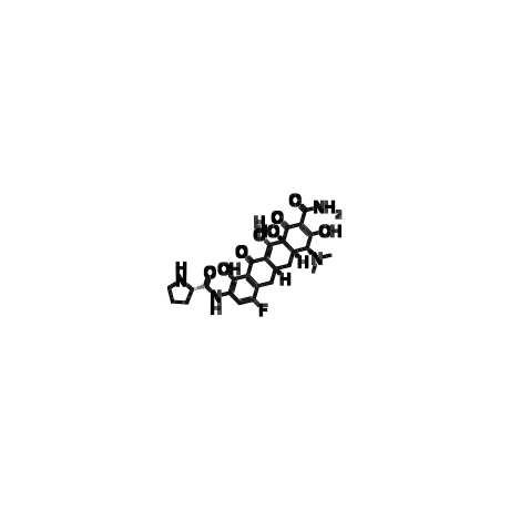 CN(C)[C@@H]1C(O)=C(C(N)=O)C(=O)[C@@]2(O)C(O)=C3C(=O)c4c(O)c(NC(=O)[C@@H]5CCCN5)cc(F)c4C[C@H]3C[C@@H]12